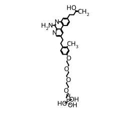 C=C(O)CCc1ccc2c(c1)nc(N)c1ncc(CCc3ccc(OCCOCCOCCOCC[PH](O)(O)O)cc3C)cc12